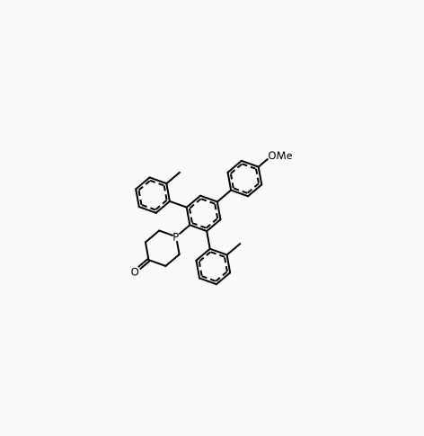 COc1ccc(-c2cc(-c3ccccc3C)c(P3CCC(=O)CC3)c(-c3ccccc3C)c2)cc1